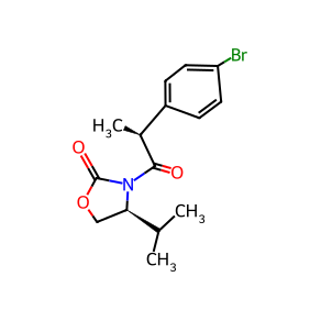 CC(C)[C@H]1COC(=O)N1C(=O)[C@@H](C)c1ccc(Br)cc1